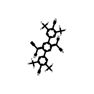 C#C/C(C#N)=c1\cc(-c2cc(C(F)(F)F)c(C#N)c(C(F)(F)F)c2)c(=C(C#N)C#N)cc1-c1cc(C(F)(F)F)c(C#N)c(C(F)(F)F)c1